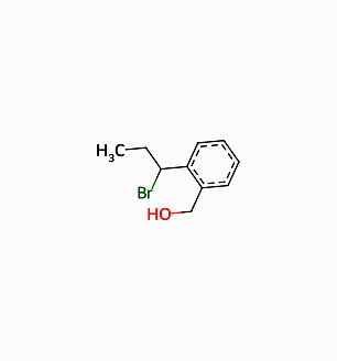 CCC(Br)c1ccccc1CO